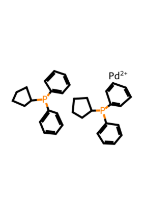 [Pd+2].c1ccc(P(c2ccccc2)C2CCCC2)cc1.c1ccc(P(c2ccccc2)C2CCCC2)cc1